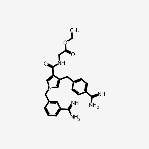 CCOC(=O)CNC(=O)c1cn(Cc2cccc(C(=N)N)c2)cc1Cc1ccc(C(=N)N)cc1